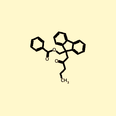 CCCC(=O)CC1(COC(=O)c2ccccc2)c2ccccc2-c2ccccc21